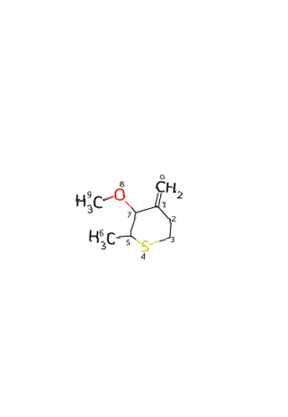 C=C1CCSC(C)C1OC